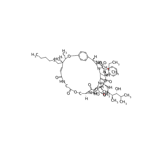 CCCCSC[C@@]1(O)/C=C/C(=O)NCC(=O)OC[C@@H]2NC(=O)[C@@H]([C@@H](C)O)NC(=O)[C@H](Cc3ccccc3)N(C)C(=O)[C@@H](NC(=O)[C@@H]([C@@H](C)CC)NC(=O)[C@@H](NC(=O)[C@H](C)[C@H](O)C(C)C)[C@@H](C)OC2=O)c2ccc(cc2)O[C@@H]1C